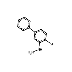 NNc1cc(-c2ccccc2)ccc1S